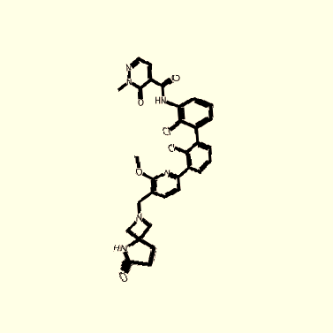 COc1nc(-c2cccc(-c3cccc(NC(=O)c4ccnn(C)c4=O)c3Cl)c2Cl)ccc1CN1CC2(CCC(=O)N2)C1